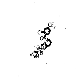 Cn1cnc(S(=O)(=O)N2CC3CCCN(C(=O)c4ccc(C(F)(F)F)cc4Cl)C3C2)c1